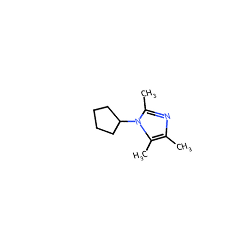 Cc1nc(C)n(C2CCCC2)c1C